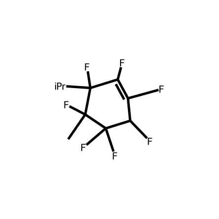 CC(C)C1(F)C(F)=C(F)C(F)C(F)(F)C1(C)F